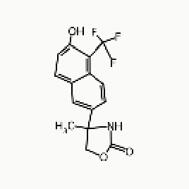 CC1(c2ccc3c(C(F)(F)F)c(O)ccc3c2)COC(=O)N1